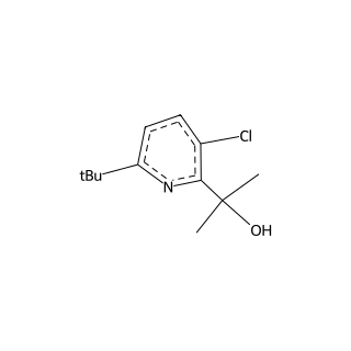 CC(C)(C)c1ccc(Cl)c(C(C)(C)O)n1